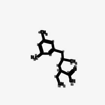 Cc1cc(C)cc(CC(C)CC(CN)C(=O)O)c1